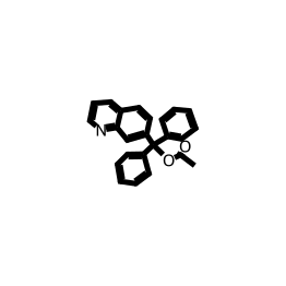 CC(=O)OC(c1ccccc1)(c1ccccc1)c1ccc2cccnc2c1